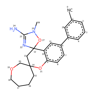 [C-]#[N+]c1cccc(-c2ccc3c(c2)C2(CC4(CCCCOC4)O3)N=C(N)N(C)O2)c1